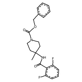 CC1(NC(=O)c2c(F)cccc2F)CCN(C(=O)OCc2ccccc2)CC1